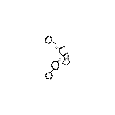 O=C(OCc1ccccc1)OC(=O)[C@]1(Oc2ccc(-c3ccccc3)cc2)CCCN1